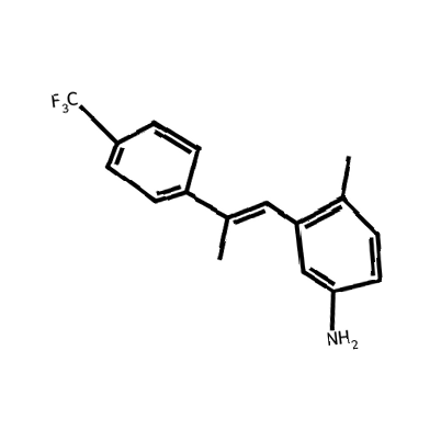 C/C(=C\c1cc(N)ccc1C)c1ccc(C(F)(F)F)cc1